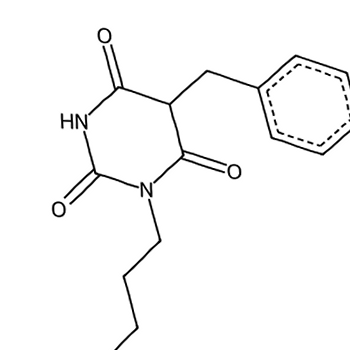 CCCCN1C(=O)NC(=O)C(Cc2ccccc2)C1=O